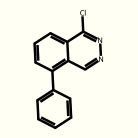 Clc1nncc2c(-c3ccccc3)cccc12